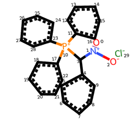 O=[N+]([O-])C(c1ccccc1)[P+](c1ccccc1)(c1ccccc1)c1ccccc1.[Cl-]